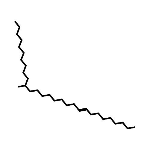 CCCCCCCCC=CCCCCCCCCC(C)CCCCCCCCCC